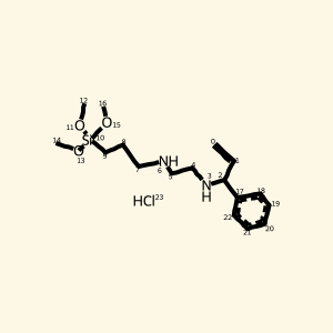 C=CC(NCCNCCC[Si](OC)(OC)OC)c1ccccc1.Cl